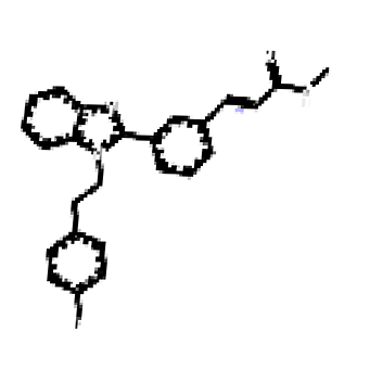 CNC(=O)/C=C/c1cccc(-c2nc3ccccc3n2CCc2ccc(F)cc2)c1